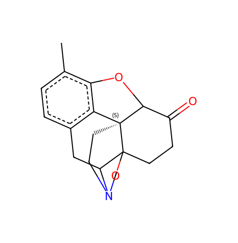 Cc1ccc2c3c1OC1C(=O)CCC45OCN(CC[C@]314)C5C2